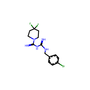 N=C(NCc1ccc(Br)cc1)NC(=N)N1CCC(F)(F)CC1